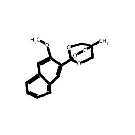 COc1cc2ccccc2cc1C12OCC(C)(CO1)CO2